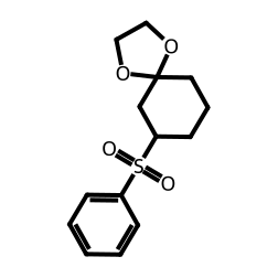 O=S(=O)(c1ccccc1)C1CCCC2(C1)OCCO2